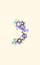 CN1CC(F)(F)Cn2ccc3nc(NCc4cnn(Cc5ccc(C(F)(F)F)nc5)c4)nc1c32